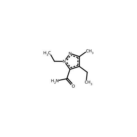 CCc1c(C)nn(CC)c1C(N)=O